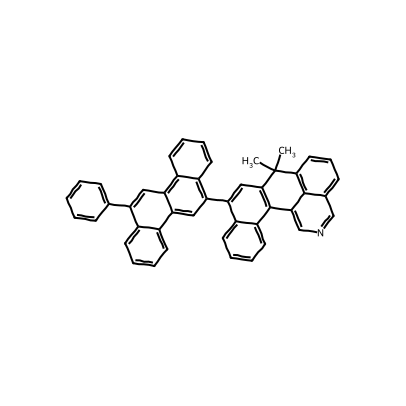 CC1(C)c2cc(-c3cc4c5ccccc5c(-c5ccccc5)cc4c4ccccc34)c3ccccc3c2-c2cncc3cccc1c23